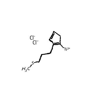 CSCCCC1=[C]([Ti+2])CC=C1.[Cl-].[Cl-]